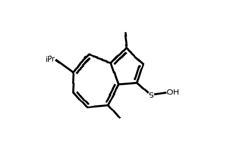 Cc1cc(SO)c2c(C)ccc(C(C)C)cc1-2